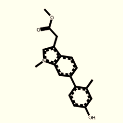 COC(=O)Cc1cn(C)c2cc(-c3ccc(O)cc3C)ccc12